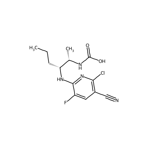 CCC[C@@H](Nc1nc(Cl)c(C#N)cc1F)[C@H](C)NC(=O)O